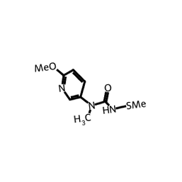 COc1ccc(N(C)C(=O)NSC)cn1